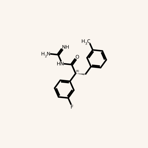 Cc1cccc(C[C@@H](C(=O)NC(=N)N)c2cccc(F)c2)c1